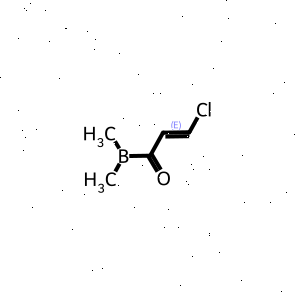 CB(C)C(=O)/C=C/Cl